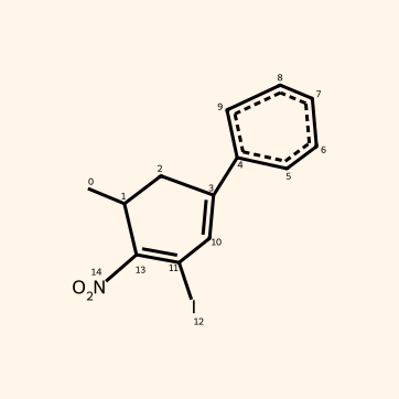 CC1CC(c2ccccc2)=CC(I)=C1[N+](=O)[O-]